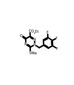 CCOC(=O)c1nn(Cc2cc(F)c(F)c(F)c2)c(SC)nc1=O